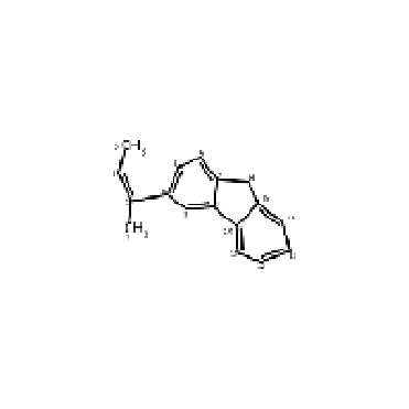 C/C=C(/C)c1ccc2c(c1)-c1ccccc1C2